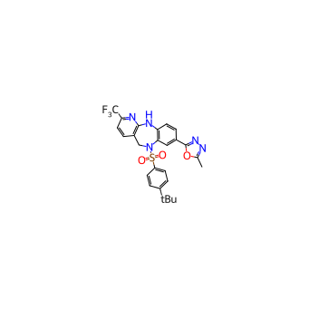 Cc1nnc(-c2ccc3c(c2)N(S(=O)(=O)c2ccc(C(C)(C)C)cc2)Cc2ccc(C(F)(F)F)nc2N3)o1